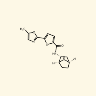 Cc1cnc(-c2ccc(C(=O)N[C@@H]3C[C@H]4CC[C@@H]3N4)s2)o1